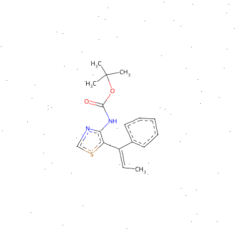 C/C=C(\c1ccccc1)c1scnc1NC(=O)OC(C)(C)C